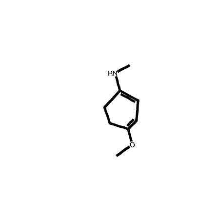 CNC1=CC=C(OC)CC1